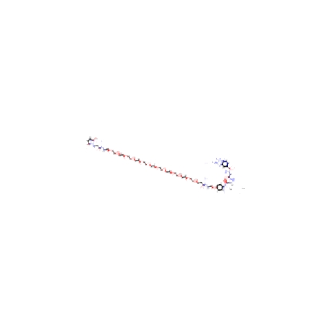 NC(N)=Nc1cccc(C(=O)NCC(=O)N[C@@H](CC(=O)O)C(=O)Nc2ccc(OCCNC(=O)CCOCCOCCOCCOCCOCCOCCOCCOCCOCCOCCOCCOCCNC(=O)CCN3C(=O)C=CC3=O)cc2)c1